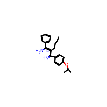 CCCC/C(C(=N)c1ccc(OC(C)C)cc1)=C(/N)c1ccccc1